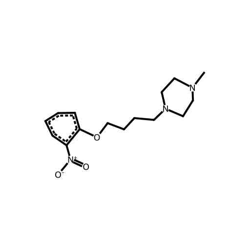 CN1CCN(CCCCOc2ccccc2[N+](=O)[O-])CC1